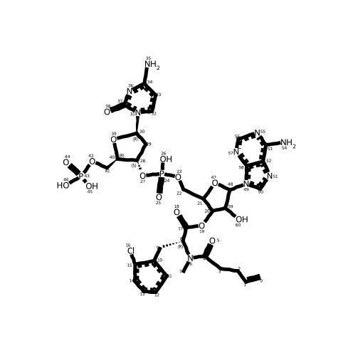 C=CCCC(=O)N(C)[C@H](Cc1ccccc1Cl)C(=O)OC1C(COP(=O)(O)O[C@H]2C[C@H](n3ccc(N)nc3=O)O[C@@H]2COP(=O)(O)O)OC(n2cnc3c(N)ncnc32)C1O